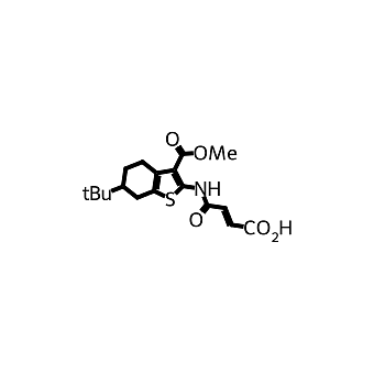 COC(=O)c1c(NC(=O)/C=C/C(=O)O)sc2c1CCC(C(C)(C)C)C2